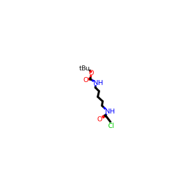 CC(C)(C)OC(=O)NCCCCCNC(=O)CCl